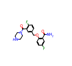 NC(=O)c1cc(F)ccc1OCc1ccc(F)c(C(=O)N2CCNCC2)c1